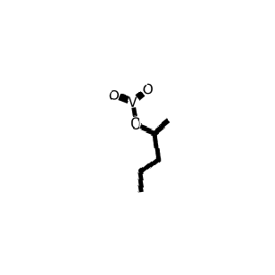 CCCC(C)[O][V](=[O])=[O]